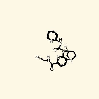 CC(C)CNC(=O)c1ccc2c(n1)N(C(=O)Nc1ccccn1)[C@H]1CCN2C1